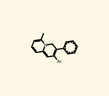 CC(=O)C1=C(c2ccccc2)CN2C(C)=CC=CC2=C1